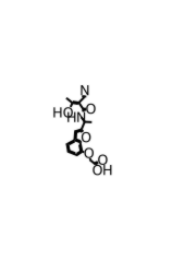 CC(O)=C(C#N)C(=O)NC(C)c1cc2cccc(OCC(=O)O)c2o1